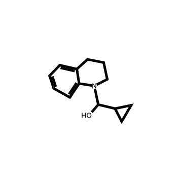 OC(C1CC1)N1CCCc2ccccc21